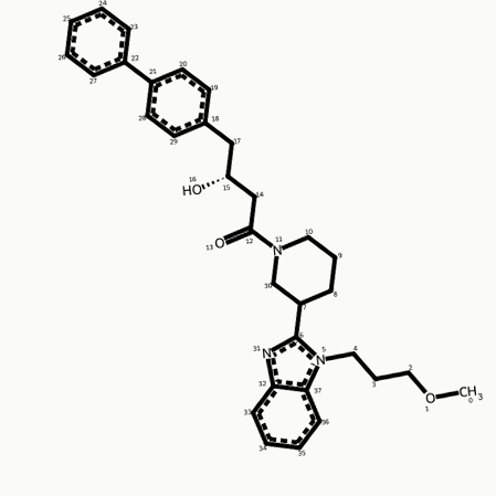 COCCCn1c(C2CCCN(C(=O)C[C@H](O)Cc3ccc(-c4ccccc4)cc3)C2)nc2ccccc21